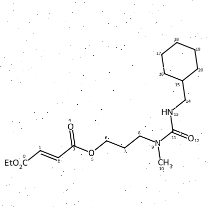 CCOC(=O)/C=C/C(=O)OCCCN(C)C(=O)NCC1CCCCC1